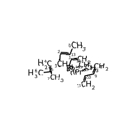 C/C=C/C.C=C(C)C.C=CC=C.C=CCC.CC(C)C.CCCC